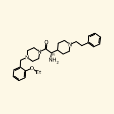 CCOc1ccccc1CN1CCN(C(=O)[C@H](N)C2CCN(CCc3ccccc3)CC2)CC1